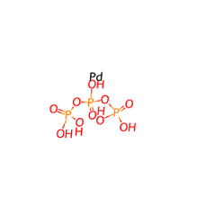 O=P(O)(O)OP(=O)(O)OP(=O)(O)O.[Pd]